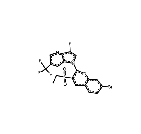 CCS(=O)(=O)c1cc2ccc(Br)cc2nc1-n1cc(F)c2ncc(C(F)(F)F)cc21